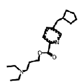 CCN(CC)CCCOC(=O)c1ccc(CC2CCCC2)cn1